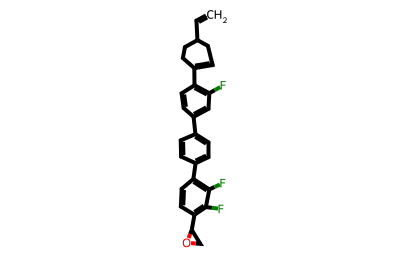 C=CC1CC=C(c2ccc(-c3ccc(-c4ccc(C5CO5)c(F)c4F)cc3)cc2F)CC1